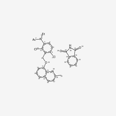 CCN(C(C)=O)c1ccc(Cl)c(COc2cccc3ccc(C)nc23)c1Cl.O=C1NC(=O)c2ccccc21